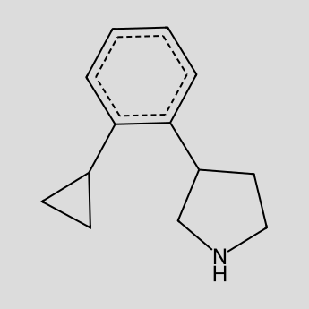 c1ccc(C2CCNC2)c(C2CC2)c1